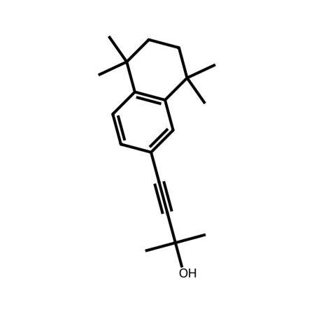 CC(C)(O)C#Cc1ccc2c(c1)C(C)(C)CCC2(C)C